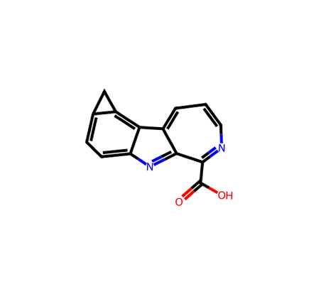 O=C(O)c1ncccc2c3c4c(ccc3nc1-2)C4